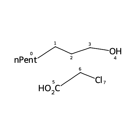 CCCCCCCCO.O=C(O)CCl